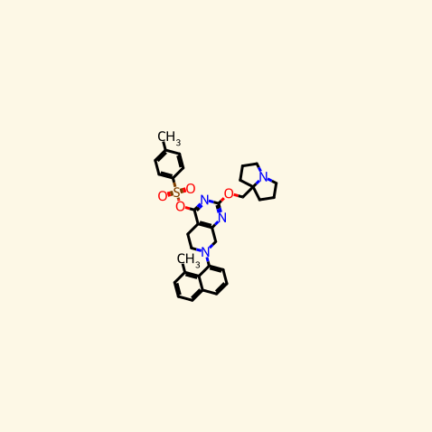 Cc1ccc(S(=O)(=O)Oc2nc(OCC34CCCN3CCC4)nc3c2CCN(c2cccc4cccc(C)c24)C3)cc1